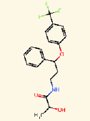 CC(O)C(=O)NCCC(Oc1ccc(C(F)(F)F)cc1)c1ccccc1